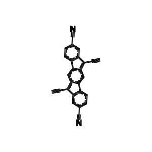 C#CC1=c2cc3c(cc2-c2ccc(C#N)cc21)=C(C#C)c1cc(C#N)ccc1-3